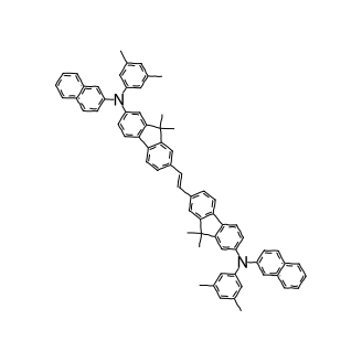 Cc1cc(C)cc(N(c2ccc3c(c2)C(C)(C)c2cc(/C=C/c4ccc5c(c4)C(C)(C)c4cc(N(c6cc(C)cc(C)c6)c6ccc7ccccc7c6)ccc4-5)ccc2-3)c2ccc3ccccc3c2)c1